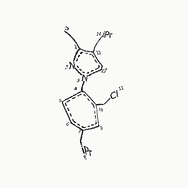 Cc1nn(-c2ccc(C(C)C)cc2Cl)cc1C(C)C